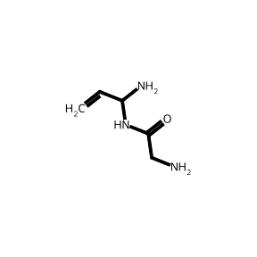 C=CC(N)NC(=O)CN